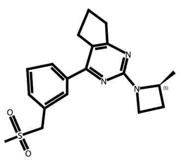 C[C@H]1CCN1c1nc2c(c(-c3cccc(CS(C)(=O)=O)c3)n1)CCC2